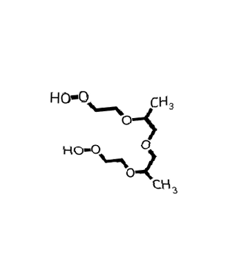 CC(COCC(C)OCCOO)OCCOO